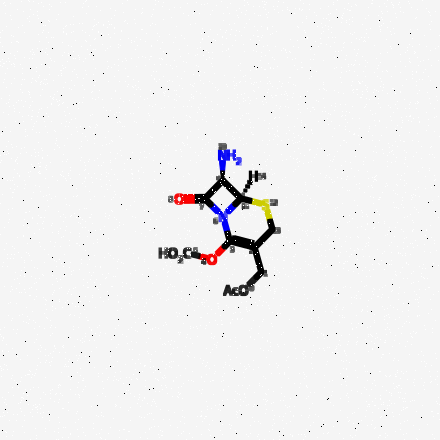 CC(=O)OCC1=C(OC(=O)O)N2C(=O)[C@@H](N)[C@H]2SC1